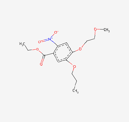 CCCOc1cc(C(=O)OCC)c([N+](=O)[O-])cc1OCCOC